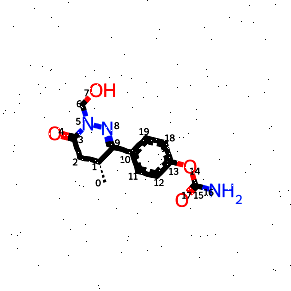 C[C@@H]1CC(=O)N(CO)N=C1c1ccc(OC(N)=O)cc1